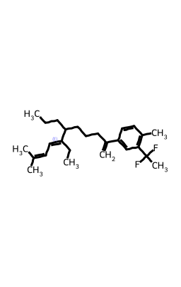 C=C(CCCC(CCC)/C(=C/C=C(C)C)CC)c1ccc(C)c(C(C)(F)F)c1